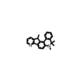 CC1c2cccnc2-c2ccc3c(c21)-c1ccccc1C(C)(C)N3C